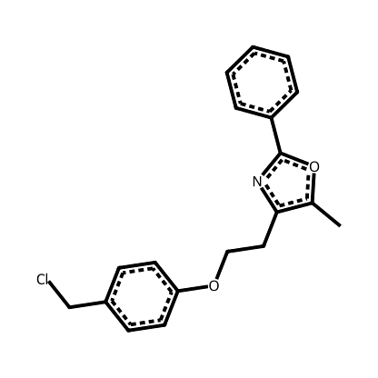 Cc1oc(-c2ccccc2)nc1CCOc1ccc(CCl)cc1